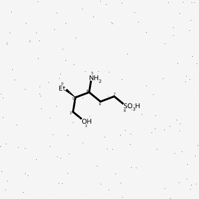 CC[C@H](CO)C(N)CCS(=O)(=O)O